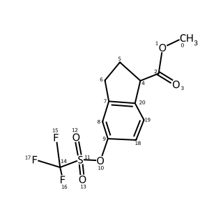 COC(=O)C1CCc2cc(OS(=O)(=O)C(F)(F)F)ccc21